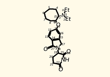 CCN(CC)[C@H]1CCCCC[C@@H]1Oc1ccc2c(c1)CN(C1CCC(=O)NC1=O)C2=O